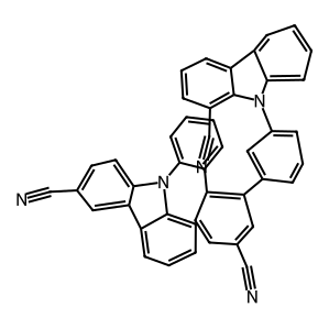 N#Cc1ccc(-c2ccccc2-n2c3ccccc3c3cc(C#N)ccc32)c(-c2cccc(-n3c4ccccc4c4cccc(C#N)c43)c2)c1